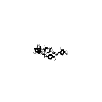 COc1ccc(CCn2cnc3cc(N=C(N[C@H]4C[C@@H]5C[C@@H]([C@H]4C)C5(C)C)N4C[C@H](C)N[C@@H](C)C4)ccc3c2=O)c(F)c1